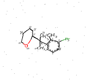 Cc1c(Br)cccc1C(C)(C)C1CCCCO1